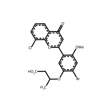 COc1cc(Br)c(OC(C)CC(=O)O)cc1-c1cc(=O)c2cccc(Cl)c2o1